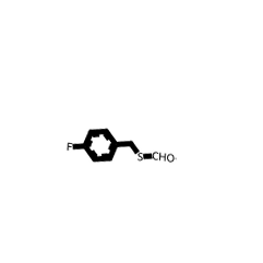 O=[C]SCc1ccc(F)cc1